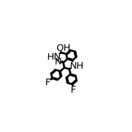 OC1NN=C2c3c(cccc31)NC(c1ccc(F)cc1)C2c1ccc(F)cc1